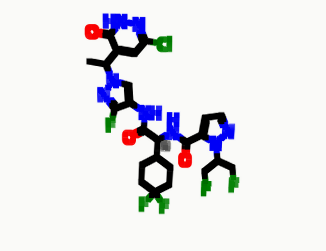 CC(c1cc(Cl)n[nH]c1=O)n1cc(NC(=O)[C@@H](NC(=O)c2ccnn2C(CF)CF)C2CCC(F)(F)CC2)c(F)n1